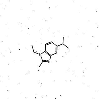 CCn1c(C)nc2cc(C(C)C)ccc21